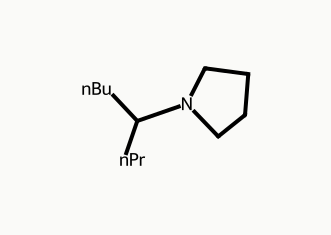 CCCCC(CCC)N1CCCC1